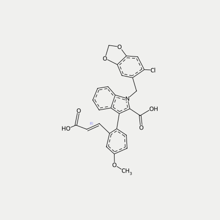 COc1ccc(-c2c(C(=O)O)n(Cc3cc4c(cc3Cl)OCO4)c3ccccc23)c(/C=C/C(=O)O)c1